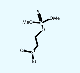 CC[S+]([O-])CCOP(=S)(OC)OC